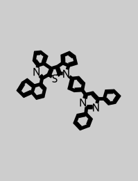 c1ccc(-c2cc(-c3ccc(-n4c5ccccc5c5c6c(sc54)c(-c4cccc5ccccc45)nc4ccccc46)cc3)nc(-c3ccccc3)n2)cc1